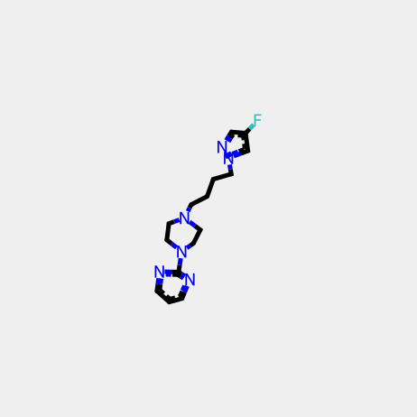 Fc1cnn(CCCCN2CCN(c3ncccn3)CC2)c1